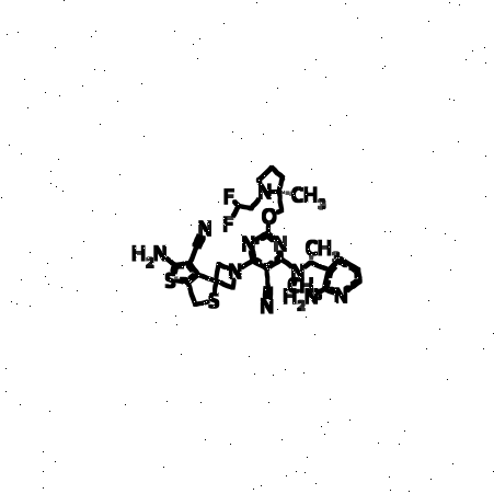 C[C@H](c1cccnc1N)N(C)c1nc(OC[C@]2(C)CCCN2CC(F)F)nc(N2CC3(C2)SCc2sc(N)c(C#N)c23)c1C#N